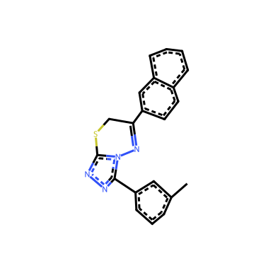 Cc1cccc(-c2nnc3n2N=C(c2ccc4ccccc4c2)CS3)c1